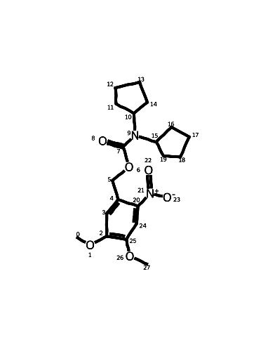 COc1cc(COC(=O)N(C2CCCC2)C2CCCC2)c([N+](=O)[O-])cc1OC